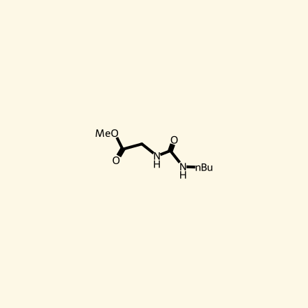 CCCCNC(=O)NCC(=O)OC